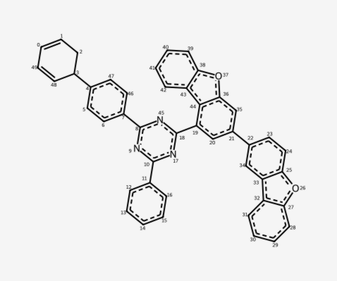 C1=CCC(c2ccc(-c3nc(-c4ccccc4)nc(-c4cc(-c5ccc6oc7ccccc7c6c5)cc5oc6ccccc6c45)n3)cc2)C=C1